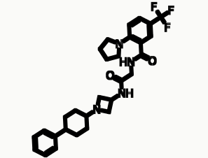 O=C(CNC(=O)c1cc(C(F)(F)F)ccc1N1CCCC1)NC1CN(C2CCC(c3ccccc3)CC2)C1